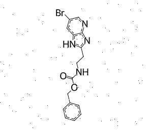 O=C(NCCc1nc2ncc(Br)cc2[nH]1)OCc1ccccc1